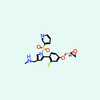 CNCc1cc(-c2ccc(OC[C@H]3CO3)cc2F)n(S(=O)(=O)c2cccnc2)c1